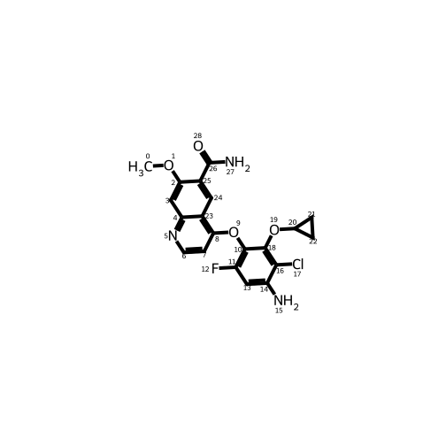 COc1cc2nccc(Oc3c(F)cc(N)c(Cl)c3OC3CC3)c2cc1C(N)=O